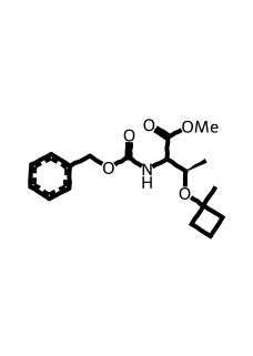 COC(=O)C(NC(=O)OCc1ccccc1)[C@@H](C)OC1(C)CCC1